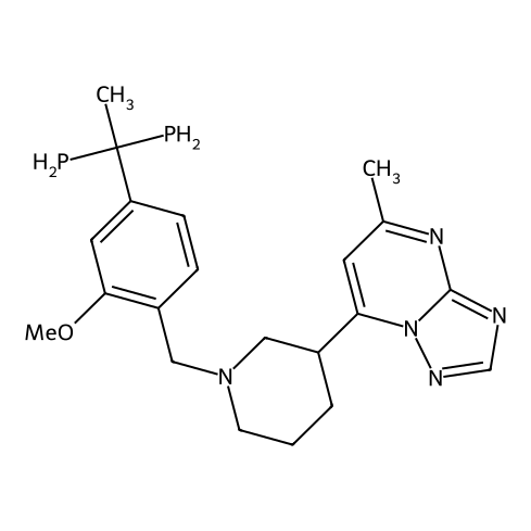 COc1cc(C(C)(P)P)ccc1CN1CCCC(c2cc(C)nc3ncnn23)C1